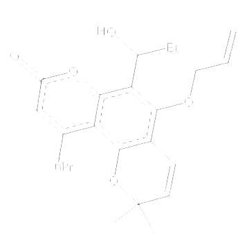 C=CCOc1c2c(c3c(CCC)cc(=O)oc3c1C(O)CC)OC(C)(C)C=C2